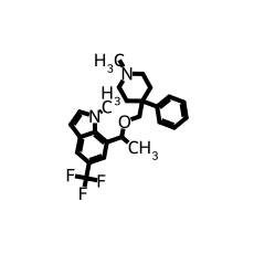 CC(OCC1(c2ccccc2)CCN(C)CC1)c1cc(C(F)(F)F)cc2ccn(C)c12